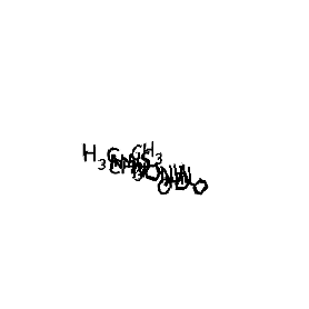 CN(C)CCN(C)c1nc2ccc(NC(=O)c3ccc(-c4ccccc4)nc3)cc2s1